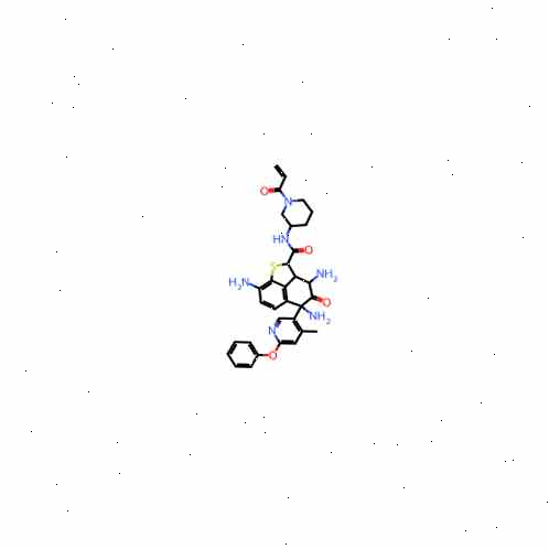 C=CC(=O)N1CCCC(NC(=O)C2Sc3c(N)ccc4c3C2C(N)C(=O)C4(N)c2cnc(Oc3ccccc3)cc2C)C1